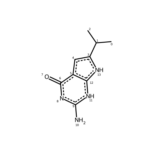 CC(C)c1cc2c(=O)nc(N)[nH]c2[nH]1